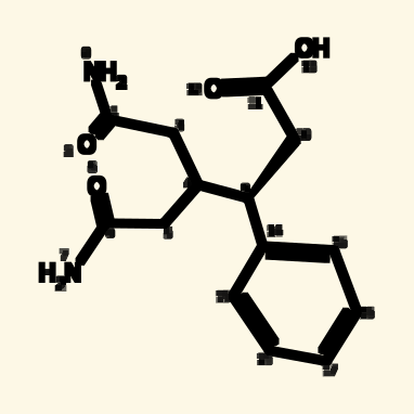 NC(=O)CC(CC(N)=O)[C@@H](CC(=O)O)c1ccccc1